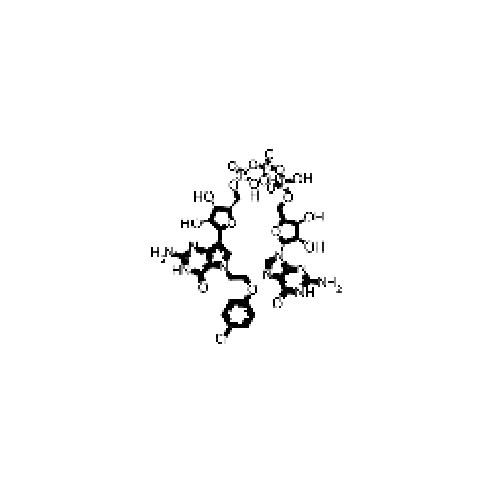 Nc1nc2c(ncn2[C@@H]2OC(COP(=O)(O)OP(=O)(O)OP(=O)(O)OC[C@H]3OC(c4cn(CCOc5ccc(Cl)cc5)c5c(=O)[nH]c(N)nc45)[C@H](O)[C@@H]3O)[C@@H](O)[C@H]2O)c(=O)[nH]1